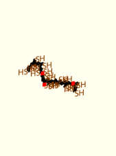 SCCC(S)CC(CS)C(S)CC(CS)C(S)CC(S)C(S)CC(S)CC(CS)C(S)C(CS)CC(S)CC(S)C(S)CC(S)C(CS)CC(S)CC(CS)C(S)CCS